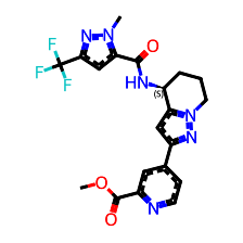 COC(=O)c1cc(-c2cc3n(n2)CCC[C@@H]3NC(=O)c2cc(C(F)(F)F)nn2C)ccn1